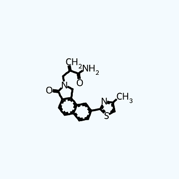 C=C(CN1Cc2c(ccc3ccc(-c4nc(C)cs4)cc23)C1=O)C(N)=O